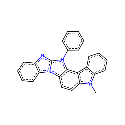 Cn1c2ccccc2c2c1ccc1c2n(-c2ccccc2)c2nc3ccccc3n12